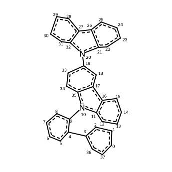 c1ccc(-c2ccccc2-n2c3ccccc3c3cc(-n4c5ccccc5c5ccccc54)ccc32)cc1